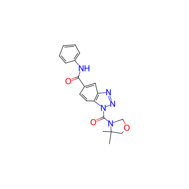 CC1(C)COCN1C(=O)n1nnc2cc(C(=O)Nc3ccccc3)ccc21